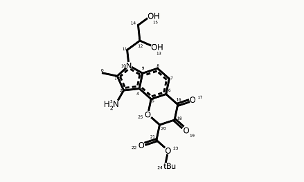 Cc1c(N)c2c3c(ccc2n1CC(O)CO)C(=O)C(=O)C(C(=O)OC(C)(C)C)O3